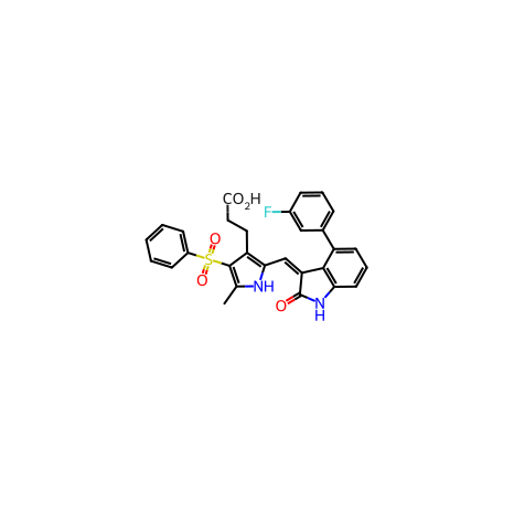 Cc1[nH]c(/C=C2\C(=O)Nc3cccc(-c4cccc(F)c4)c32)c(CCC(=O)O)c1S(=O)(=O)c1ccccc1